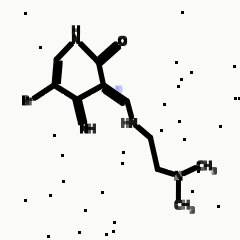 CN(C)CCN/C=C1\C(=N)C(Br)=CNC1=O